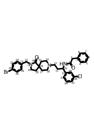 O=C(Cc1ccccc1)NC(CCN1CCC2(CC1)CCN(Cc1ccc(Br)cc1)C2=O)c1cccc(Cl)c1